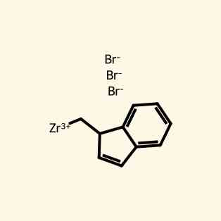 [Br-].[Br-].[Br-].[Zr+3][CH2]C1C=Cc2ccccc21